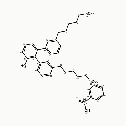 CCCCCCCCCCCCCCCc1cccc(-c2cccc(O)c2-c2cccc(CCCCCCCCCCCCCCC)c2)c1.O=[PH](O)c1ccccc1